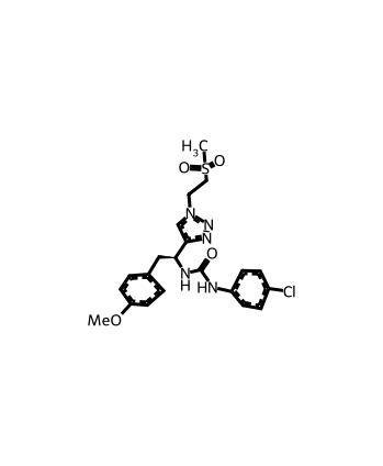 COc1ccc(C[C@H](NC(=O)Nc2ccc(Cl)cc2)c2cn(CCS(C)(=O)=O)nn2)cc1